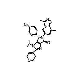 Cc1cc(N2C(=O)c3nc(C4=CCOCC4)n(C(C)C)c3[C@@H]2c2ccc(Cl)cc2)cn2c(C)nnc12